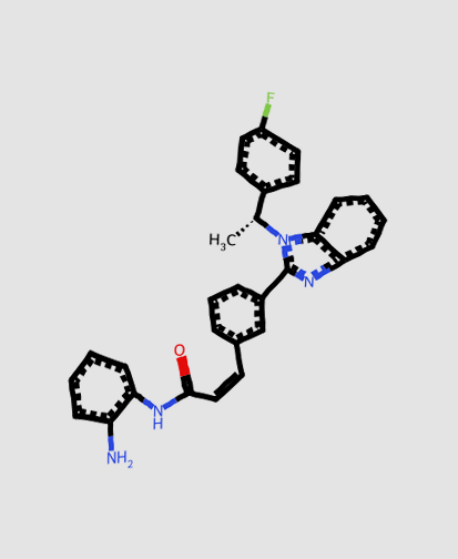 C[C@H](c1ccc(F)cc1)n1c(-c2cccc(/C=C\C(=O)Nc3ccccc3N)c2)nc2ccccc21